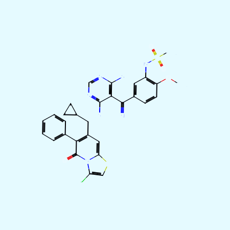 COc1ccc(C(=N)c2c(N)ncnc2N[C@H](c2cc3scc(Cl)n3c(=O)c2-c2ccccc2)C2CC2)cc1NS(C)(=O)=O